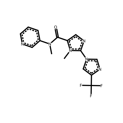 CN(C(=O)c1cnc(-n2cnc(C(F)(F)F)c2)n1C)c1cccnc1